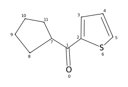 O=C(c1cccs1)C1CCCC1